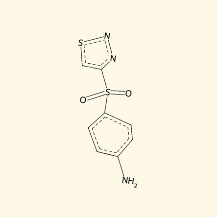 Nc1ccc(S(=O)(=O)c2csnn2)cc1